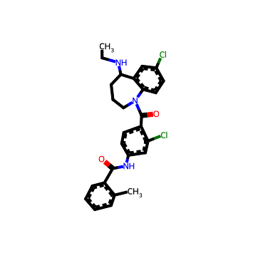 CCNC1CCCN(C(=O)c2ccc(NC(=O)c3ccccc3C)cc2Cl)c2ccc(Cl)cc21